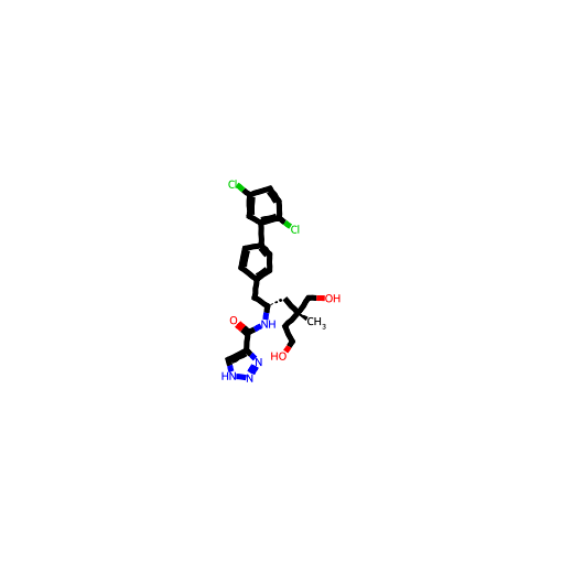 C[C@@](CO)(CCO)C[C@@H](Cc1ccc(-c2cc(Cl)ccc2Cl)cc1)NC(=O)c1c[nH]nn1